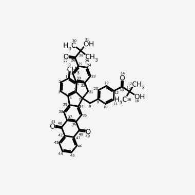 Cc1ccc2c(c1)C(Cc1ccc(C(=O)C(C)(C)O)cc1)(Cc1ccc(C(=O)C(C)(C)O)cc1)c1cc3c(cc1-2)C(=O)c1ccccc1C3=O